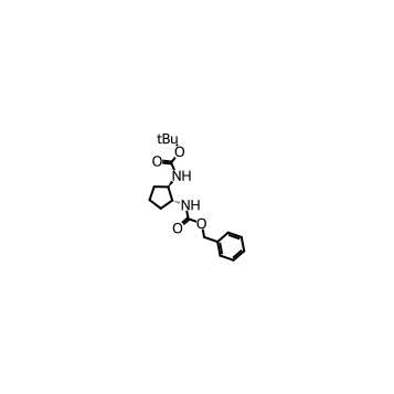 CC(C)(C)OC(=O)N[C@@H]1CCC[C@H]1NC(=O)OCc1ccccc1